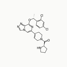 C[C@@H](Oc1nc(C2=CCN(C(=O)[C@H]3CCCN3)CC2)cn2cnnc12)c1ccc(Cl)cc1Cl